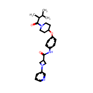 CC(C)C(C)C(=O)N1CCC(Oc2ccc(NC(=O)C3CN(c4cccnc4)C3)cc2)CC1